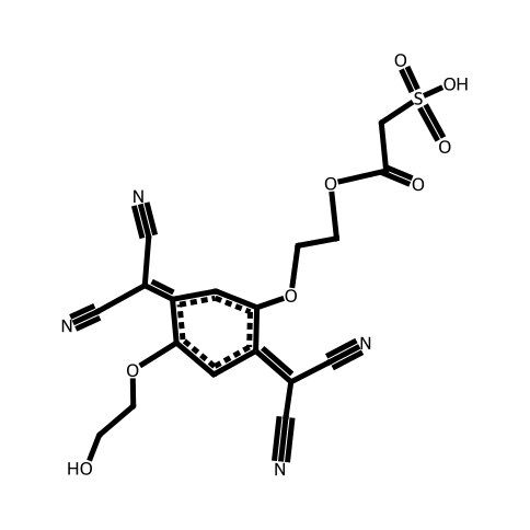 N#CC(C#N)=c1cc(OCCOC(=O)CS(=O)(=O)O)c(=C(C#N)C#N)cc1OCCO